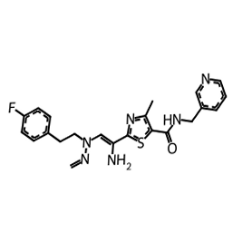 C=NN(/C=C(\N)c1nc(C)c(C(=O)NCc2cccnc2)s1)CCc1ccc(F)cc1